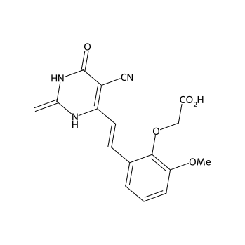 C=C1NC(=O)C(C#N)=C(/C=C/c2cccc(OC)c2OCC(=O)O)N1